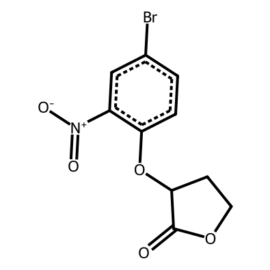 O=C1OCCC1Oc1ccc(Br)cc1[N+](=O)[O-]